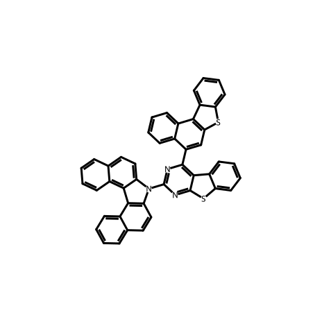 c1ccc2c(c1)ccc1c2c2c3ccccc3ccc2n1-c1nc(-c2cc3sc4ccccc4c3c3ccccc23)c2c(n1)sc1ccccc12